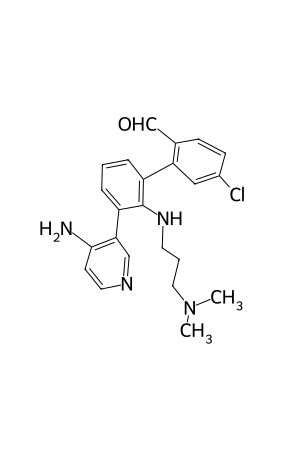 CN(C)CCCNc1c(-c2cnccc2N)cccc1-c1cc(Cl)ccc1C=O